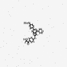 CNc1ccc(-c2nc(N3CCOCC3)c3cc(CN4CCN(C(=O)C(C)O)CC4)sc3n2)cn1